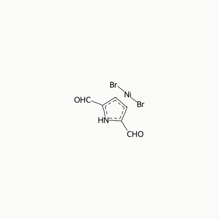 O=Cc1ccc(C=O)[nH]1.[Br][Ni][Br]